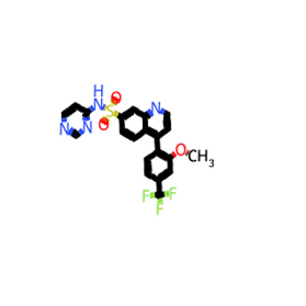 COc1cc(C(F)(F)F)ccc1-c1ccnc2cc(S(=O)(=O)Nc3ccncn3)ccc12